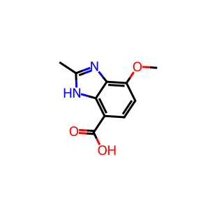 COc1ccc(C(=O)O)c2[nH]c(C)nc12